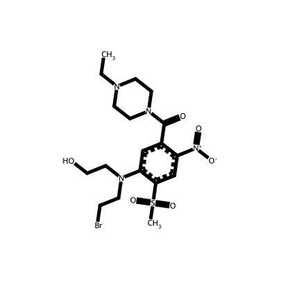 CCN1CCN(C(=O)c2cc(N(CCO)CCBr)c(S(C)(=O)=O)cc2[N+](=O)[O-])CC1